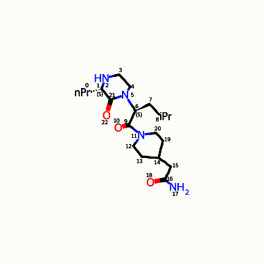 CCC[C@@H]1NCCN([C@@H](CC(C)C)C(=O)N2CCC(CC(N)=O)CC2)C1=O